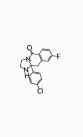 O=C1c2ccc(F)cc2CC2(c3ccc(Cl)cc3)NCCN12